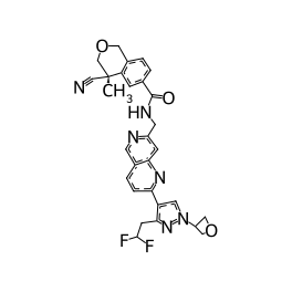 C[C@@]1(C#N)COCc2ccc(C(=O)NCc3cc4nc(-c5cn(C6COC6)nc5CC(F)F)ccc4cn3)cc21